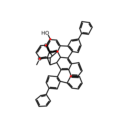 COC1C(OCO)C2c3ccccc3C1C1C(c3ccc(-c4ccccc4)cc3-c3ccccc3)=c3ccccc3=C(c3ccc(-c4ccccc4)cc3-c3ccccc3)C12